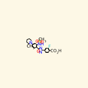 CC1CCCCN1c1ccc(-c2nc(-c3ccc(C(=O)O)c(F)c3)no2)c(NS(C)(=O)=O)c1